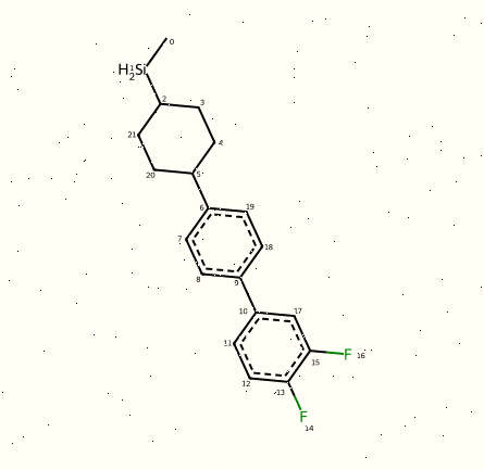 C[SiH2]C1CCC(c2ccc(-c3ccc(F)c(F)c3)cc2)CC1